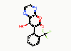 O=c1oc2nccnc2c(O)c1-c1ccccc1C(F)(F)F